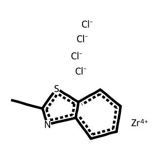 Cc1nc2ccccc2s1.[Cl-].[Cl-].[Cl-].[Cl-].[Zr+4]